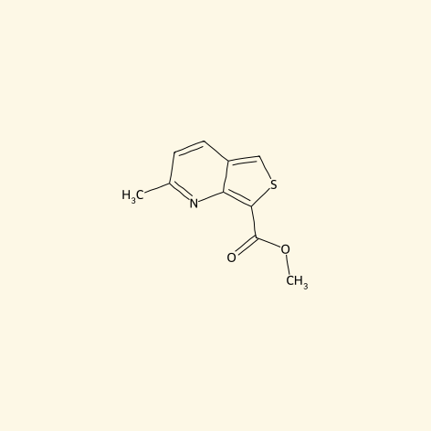 COC(=O)c1scc2ccc(C)nc12